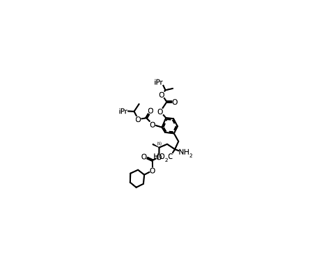 CC(C)C(C)OC(=O)Oc1ccc(CC(N)(C[C@H](C)OC(=O)OC2CCCCC2)C(=O)O)cc1OC(=O)OC(C)C(C)C